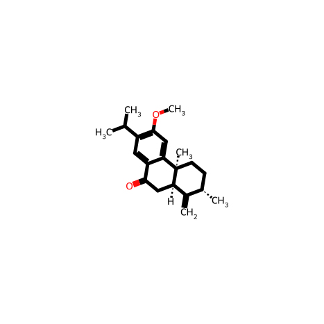 C=C1[C@H]2CC(=O)c3cc(C(C)C)c(OC)cc3[C@@]2(C)CC[C@@H]1C